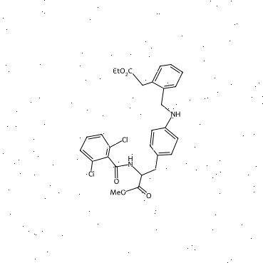 CCOC(=O)Cc1ccccc1CNc1ccc(CC(NC(=O)c2c(Cl)cccc2Cl)C(=O)OC)cc1